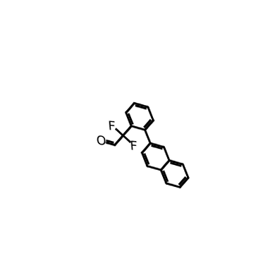 O=CC(F)(F)c1ccccc1-c1ccc2ccccc2c1